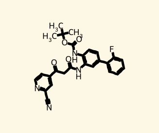 CC(C)(C)OC(=O)Nc1ccc(-c2ccccc2F)cc1NC(=O)CC(=O)c1ccnc(C#N)c1